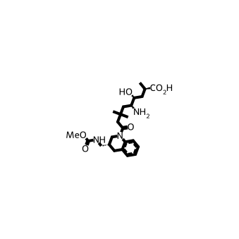 COC(=O)NC[C@H]1Cc2ccccc2N(C(=O)CC(C)(C)C[C@H](N)[C@@H](O)C[C@@H](C)C(=O)O)C1